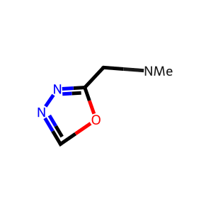 CNCc1nnco1